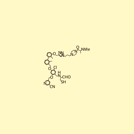 CN[C@@H](C)C(=O)N1CCN(CCCn2cc(COc3cccc(-c4cccc(COc5cc(OCc6cncc(C#N)c6)c(CNC(C=O)CS)cc5Cl)c4C)c3C)nn2)CC1